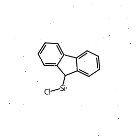 Cl[Si]C1c2ccccc2-c2ccccc21